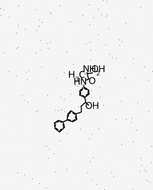 C[C@](N)(CO)C(=O)Nc1ccc(C(O)CCc2ccc(-c3ccccc3)cc2)cc1